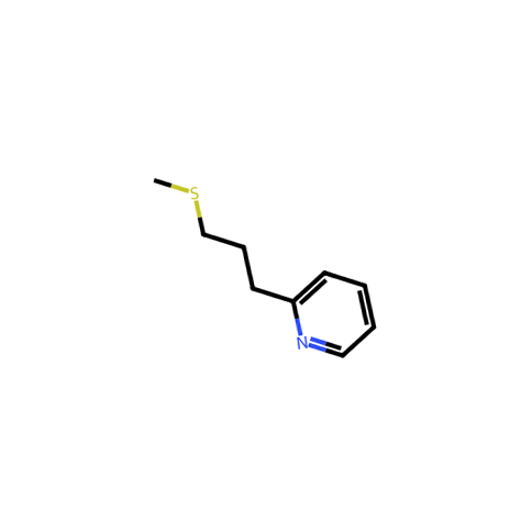 CSCCCc1ccccn1